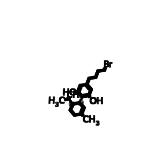 C=C(C)[C@@H]1CCC(C)=C[C@H]1c1c(O)cc(CCCCBr)cc1O